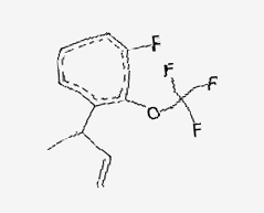 C=C[C](C)c1cccc(F)c1OC(F)(F)F